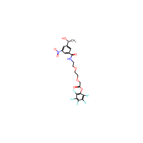 CB(O)c1cc(C(=O)NCCOCCOCC(=O)Oc2c(F)c(F)c(F)c(F)c2F)cc([N+](=O)[O-])c1